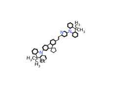 CC/C=C\C1=C(CC)C(C)(C)c2ccccc2N1c1ccc2c(c1)C1(CCCC1)c1cc(/C=C/c3ccc(N4c5ccccc5C(C)(C)c5ccccc54)cn3)ccc1-2